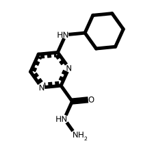 NNC(=O)c1nccc(NC2CCCCC2)n1